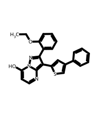 CCOc1ccccc1-c1nn2c(O)ccnc2c1-c1cc(-c2ccccc2)cs1